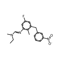 CCN(C)/C=N/c1cc(F)cc(Cc2cccc([N+](=O)[O-])c2)c1C